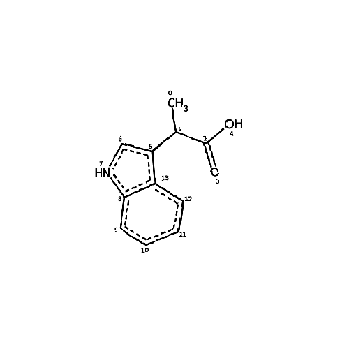 CC(C(=O)O)c1c[nH]c2ccccc12